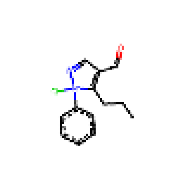 CCCC1=C(C=O)C=N[N+]1(Cl)c1ccccc1